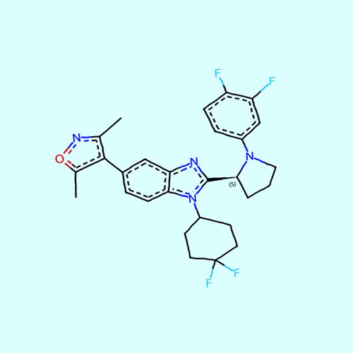 Cc1noc(C)c1-c1ccc2c(c1)nc([C@@H]1CCCN1c1ccc(F)c(F)c1)n2C1CCC(F)(F)CC1